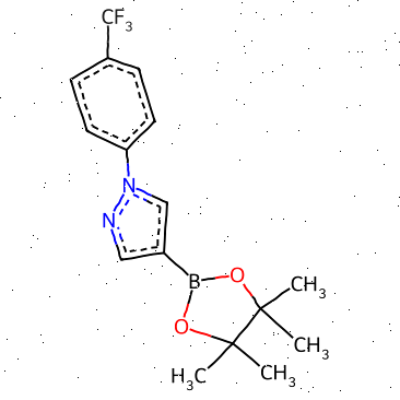 CC1(C)OB(c2cnn(-c3ccc(C(F)(F)F)cc3)c2)OC1(C)C